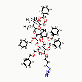 CC1[C@H](O[C@@H]2C(OCc3ccccc3)[C@H](O[C@@H]3C(COCc4ccccc4)O[C@@H](OCCCN=[N+]=[N-])C(OCc4ccccc4)[C@H]3C)OC(COCc3ccccc3)[C@@H]2C)OC2COC(c3ccccc3)O[C@H]2[C@@H]1C